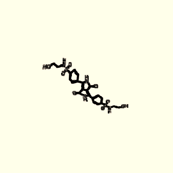 O=C1NC(c2ccc(S(=O)(=O)NCCO)cc2)=C2C(=O)NC(c3ccc(S(=O)(=O)NCCO)cc3)=C12